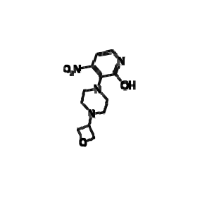 O=[N+]([O-])c1ccnc(O)c1N1CCN(C2COC2)CC1